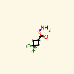 NOC(=O)C1CC(F)(F)C1